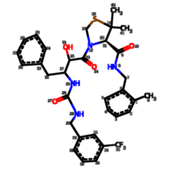 Cc1ccccc1CNC(=O)[C@H]1N(C(=O)C(O)C(Cc2ccccc2)NC(=O)NCc2cccc(C(F)(F)F)c2)CSC1(C)C